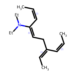 C/C=C\C(=C/C)C/C=C(\C=C/C)N(CC)CC